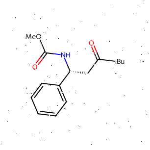 CCC(C)C(=O)C[C@@H](NC(=O)OC)c1ccccc1